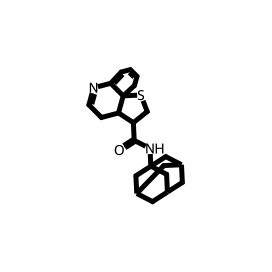 O=C(NC12CC3CC(CC(C3)C1)C2)C1CSC23CC=CC=C2N=CCC13